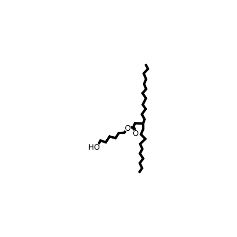 CCCCCCCCCCCCC(CCCCCCCCCC)CC(=O)OCCCCCCO